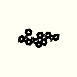 c1ccc(-n2c3ccncc3c3ccc4c(nc5n(-c6ccccc6-c6ccccc6-c6nccc7c6sc6ccccc67)c6ccccc6n45)c32)cc1